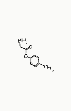 Cc1ccc(OC(=O)CP)cc1